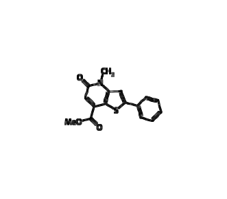 COC(=O)c1cc(=O)n(C)c2cc(-c3ccccc3)sc12